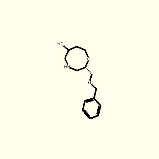 OC1CCO[C@H](COCc2ccccc2)CNC1